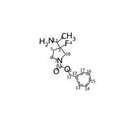 CC(N)C1(F)CCN(C(=O)OCc2ccccc2)C1